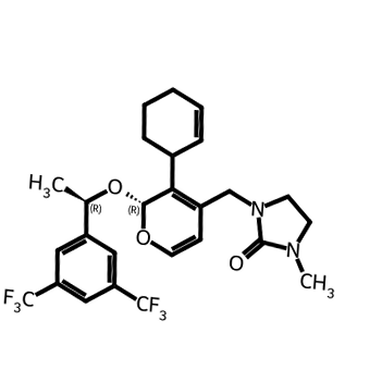 C[C@@H](O[C@H]1OC=CC(CN2CCN(C)C2=O)=C1C1C=CCCC1)c1cc(C(F)(F)F)cc(C(F)(F)F)c1